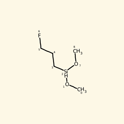 CO[SiH](CCCF)OC